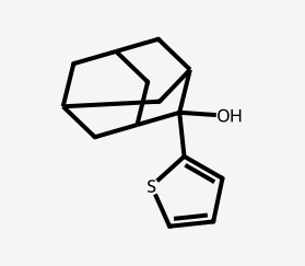 OC1(c2cccs2)C2CC3CC(C2)CC1C3